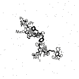 CC[C@H](C)[C@@H]([C@@H](CC(=O)N1CCC[C@H]1[C@H](OC)[C@@H](C)C(=O)N[C@@H](Cc1ccccc1)C(=O)NCc1ccc(NC(=O)[C@H](CCCNC(N)=O)NC(=O)[C@@H](NC(=O)CCCN2CCC(C(=O)OC)CC2C(F)(F)F)C(C)C)cc1)OC)N(C)C(=O)[C@@H](NC(=O)[C@H](C(C)C)N(C)C)C(C)C